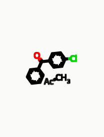 CC(C)=O.O=C(c1ccccc1)c1ccc(Cl)cc1